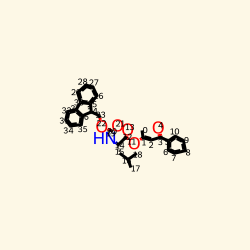 C/C(=C\C(=O)c1ccccc1)OC(=O)[C@H](CC(C)C)NC(=O)OCC1c2ccccc2-c2ccccc21